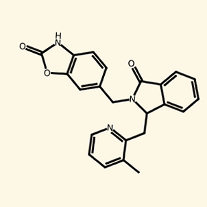 Cc1cccnc1CC1c2ccccc2C(=O)N1Cc1ccc2[nH]c(=O)oc2c1